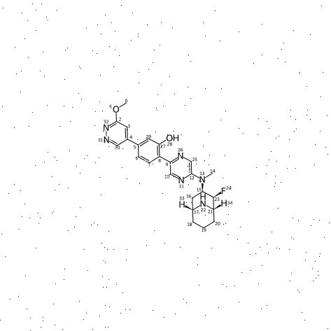 COc1cc(-c2ccc(-c3cnc(N(C)[C@@H]4C[C@H]5CCC[C@H](N5)[C@@H]4F)cn3)c(O)c2)cnn1